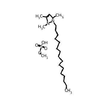 CCCCCCCCCCCCCCCCN1C(C)C=C(C)N1C.COS(=O)(=O)O